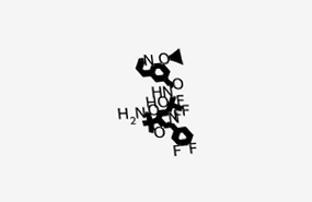 CC1(C(N)=O)COc2c1cc(C(O)(CNC(=O)c1cc(OC3CC3)c3ncccc3c1)C(F)(F)F)nc2-c1ccc(F)c(F)c1